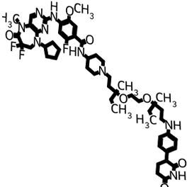 CCC(C)(CCNc1ccc(C2CCC(=O)NC2=O)cc1)OCCOC(C)(CC)CCN1CCC(NC(=O)c2cc(OC)c(Nc3ncc4c(n3)N(C3CCCC3)CC(F)(F)C(=O)N4C)cc2F)CC1